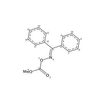 COC(=O)ON=C(c1ccccc1)c1ccccc1